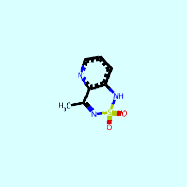 CC1=NS(=O)(=O)Nc2cccnc21